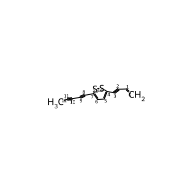 C=CC#CC1=CC=C(C#CC#CC)SS1